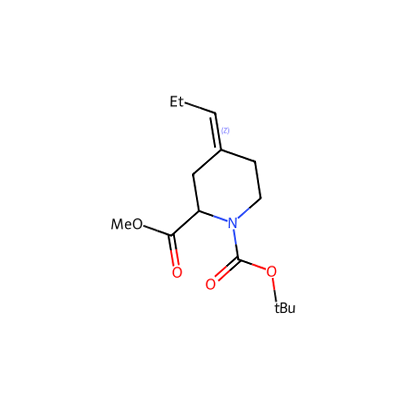 CC/C=C1/CCN(C(=O)OC(C)(C)C)C(C(=O)OC)C1